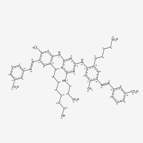 Cc1cc(Nc2nc(NCCS(=O)(=O)O)nc(Nc3cc(C)c(N=Nc4cccc(C(=O)O)c4)cc3OCCCS(=O)(=O)O)n2)c(OCCCSOOO)cc1N=Nc1cccc(C(=O)O)c1